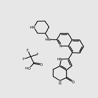 O=C(O)C(F)(F)F.O=C1NCCc2[nH]c(-c3cccc4ccc(NC5CCCNC5)nc34)cc21